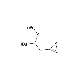 CCCSC(CC1=CS1)C(C)CC